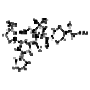 CCCCOC(=O)N1CCN(C(=O)[C@H](CP(=O)(O)OCOC(C)=O)NC(=O)c2cc(N3CC[C@H](OC)C3)nc(-c3ccccc3)n2)CC1